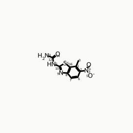 Cc1c([N+](=O)[O-])ccc2nc(NC(N)=O)sc12